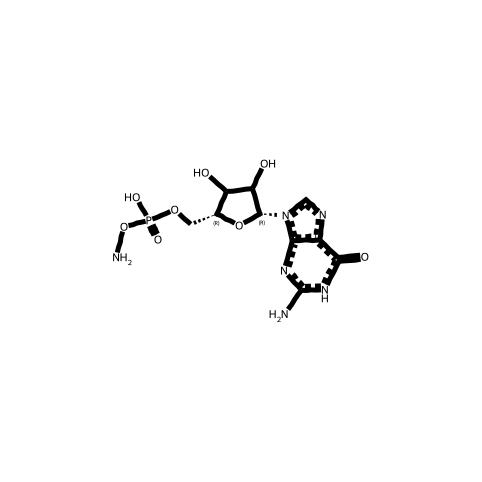 NOP(=O)(O)OC[C@H]1O[C@@H](n2cnc3c(=O)[nH]c(N)nc32)C(O)C1O